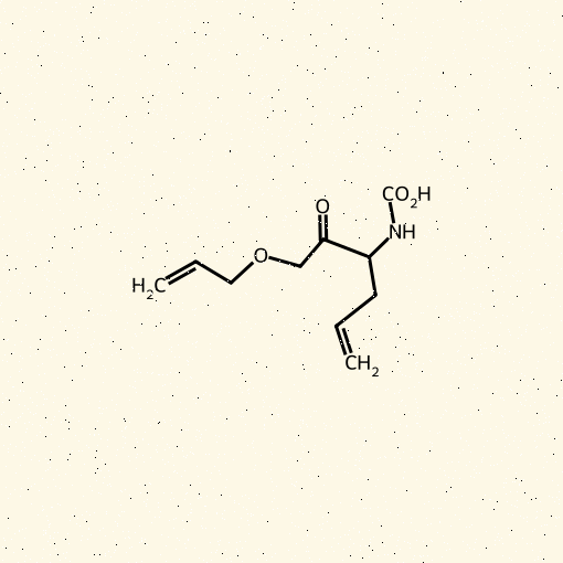 C=CCOCC(=O)C(CC=C)NC(=O)O